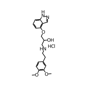 COc1ccc(CCNCC(O)COc2cccc3[nH]ncc23)cc1OC.Cl